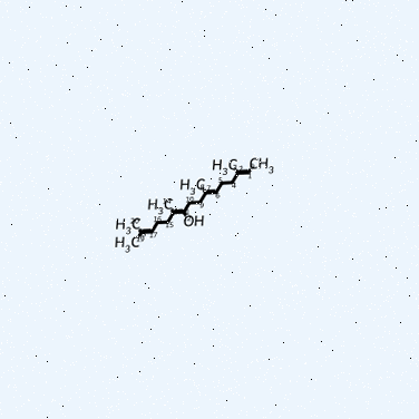 C/C=C(\C)CC/C=C(\C)CC/C(O)=C(\C)CCC=C(C)C